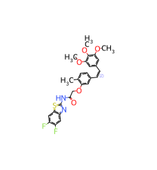 COc1cc(/C=C\c2ccc(C)c(OCC(=O)Nc3nc4cc(F)c(F)cc4s3)c2)cc(OC)c1OC